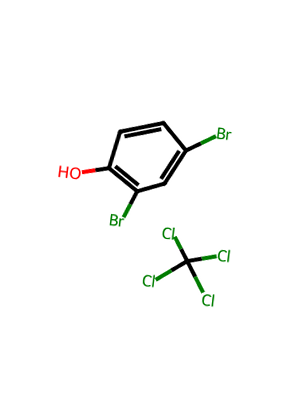 ClC(Cl)(Cl)Cl.Oc1ccc(Br)cc1Br